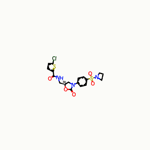 O=C(NC[C@H]1CN(c2ccc(S(=O)(=O)N3CCC3)cc2)C(=O)O1)c1ccc(Cl)s1